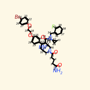 NC(=O)CCCC(=O)N1CC2CC(c3ccc(OCCOc4ccc(Br)cc4)cc3)=C(C(=O)N(Cc3ccccc3F)C3CC3)[C@@H](C1)N2